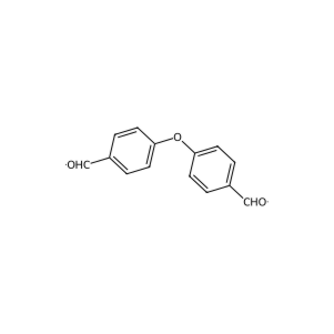 O=[C]c1ccc(Oc2ccc([C]=O)cc2)cc1